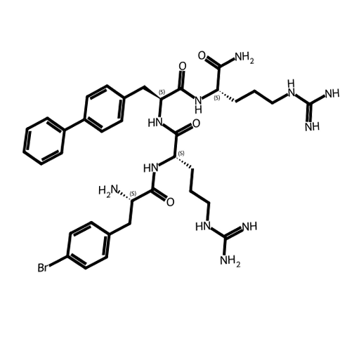 N=C(N)NCCC[C@H](NC(=O)[C@H](Cc1ccc(-c2ccccc2)cc1)NC(=O)[C@H](CCCNC(=N)N)NC(=O)[C@@H](N)Cc1ccc(Br)cc1)C(N)=O